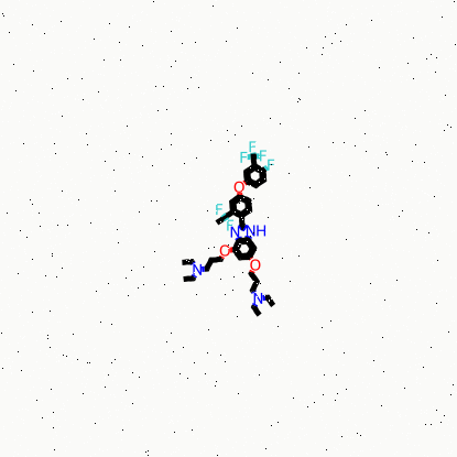 CCN(CC)CCCOc1cc(OCCCN(CC)CC)c2nc(-c3ccc(Oc4ccc(F)c(C(F)(F)F)c4)cc3C(C)(F)F)[nH]c2c1